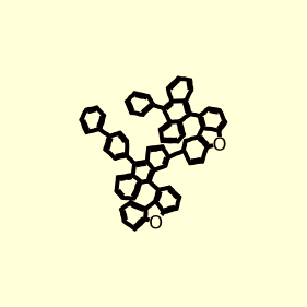 C1=CC(c2ccc3c(-c4ccc(-c5ccccc5)cc4)c4ccccc4c(-c4cccc5oc6ccccc6c45)c3c2)Cc2c1oc1cccc(-c3c4ccccc4c(-c4ccccc4)c4ccccc34)c21